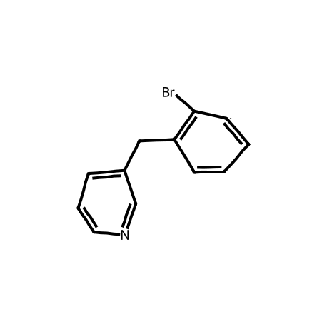 Brc1[c]cccc1Cc1cccnc1